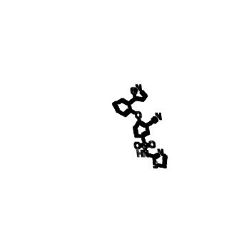 N#Cc1cc(S(=O)(=O)Nc2nccs2)ccc1Oc1ccccc1-c1ccno1